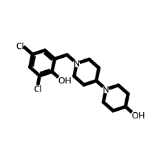 Oc1c(Cl)cc(Cl)cc1CN1CCC(N2CCC(O)CC2)CC1